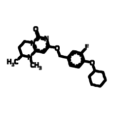 CC1CCn2c(cc(OCc3ccc(OC4CCCCC4)c(F)c3)nc2=O)N1C